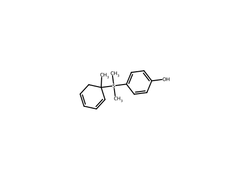 CC1(S(C)(C)c2ccc(O)cc2)C=CC=CC1